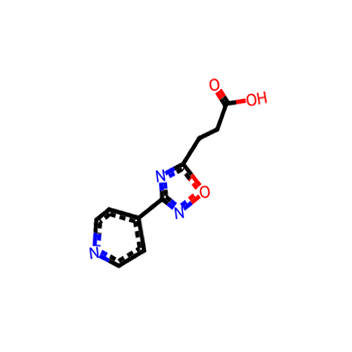 O=C(O)CCc1nc(-c2ccncc2)no1